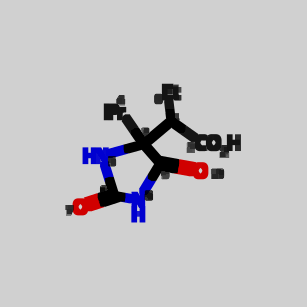 CCC(C(=O)O)C1(C(C)C)NC(=O)NC1=O